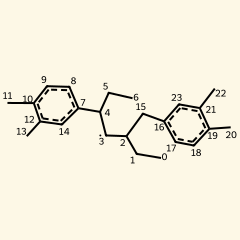 CCC([CH]C(CC)c1ccc(C)c(C)c1)Cc1ccc(C)c(C)c1